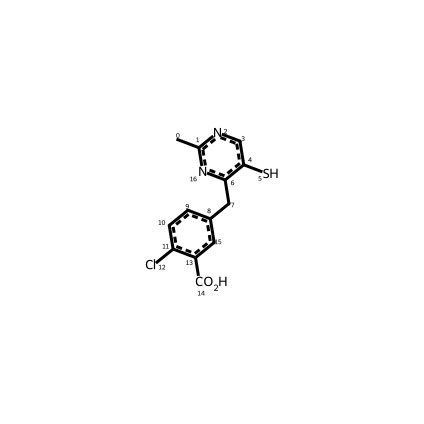 Cc1ncc(S)c(Cc2ccc(Cl)c(C(=O)O)c2)n1